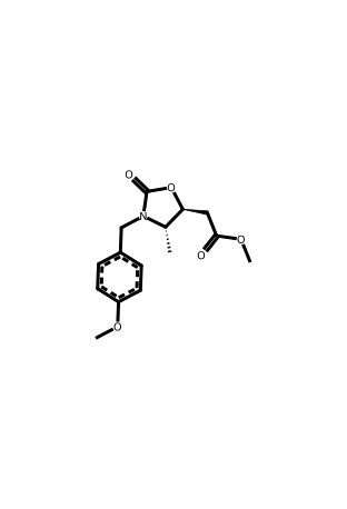 COC(=O)C[C@@H]1OC(=O)N(Cc2ccc(OC)cc2)[C@H]1C